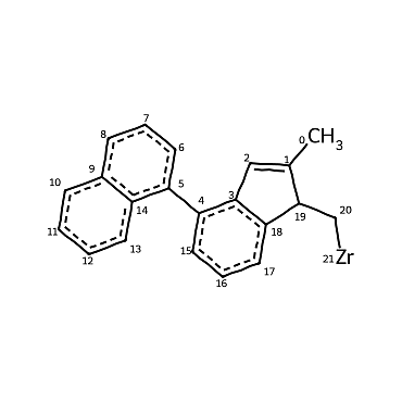 CC1=Cc2c(-c3cccc4ccccc34)cccc2C1[CH2][Zr]